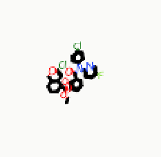 CCOC(=O)C1(Oc2ccccc2C(=O)N(c2ccc(Cl)cc2)c2ccc(F)cn2)CCCC2=C1C=C(Cl)OC2